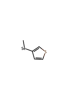 C[Se]c1ccsc1